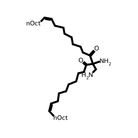 CCCCCCCC/C=C\CCCCCCCC(=O)C(N)(CN)C(=O)CCCCCCC/C=C\CCCCCCCC